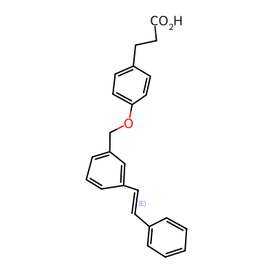 O=C(O)CCc1ccc(OCc2cccc(/C=C/c3ccccc3)c2)cc1